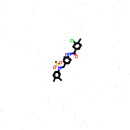 Cc1ccc(N(Cc2ccc(NC(=O)c3ccc(C)c(Cl)c3)cc2)S(C)(=O)=O)cc1C